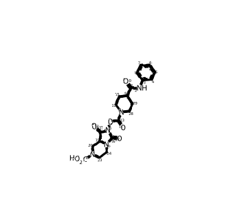 O=C(Nc1ccccc1)C1CCN(C(=O)ON2C(=O)C3CN(C(=O)O)CCN3C2=O)CC1